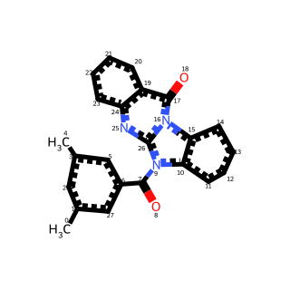 Cc1cc(C)cc(C(=O)n2c3ccccc3n3c(=O)c4ccccc4nc23)c1